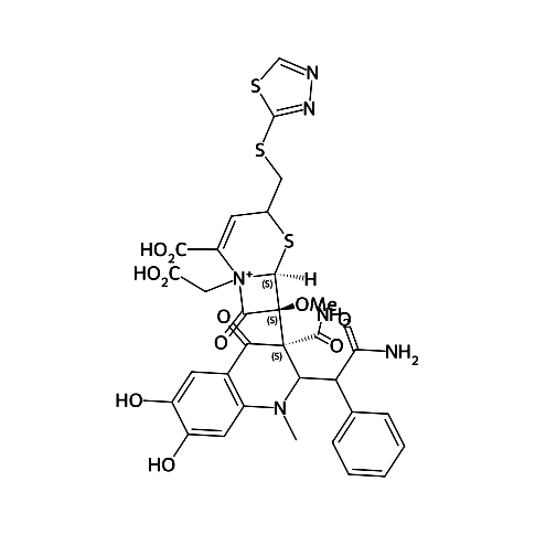 CO[C@@]1([C@]2(C(N)=O)C(=O)c3cc(O)c(O)cc3N(C)C2C(C(N)=O)c2ccccc2)C(=O)[N+]2(CC(=O)O)C(C(=O)O)=CC(CSc3nncs3)S[C@@H]12